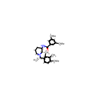 COc1cc(OC)cc(C(=O)NC2CCCN([C@@H](C)c3ccc(OC)c(C)c3C)C2)c1